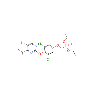 CCOP(=O)(COc1cc(Cl)c(Oc2ncc(Br)c(C(C)C)n2)c(Cl)c1)OCC